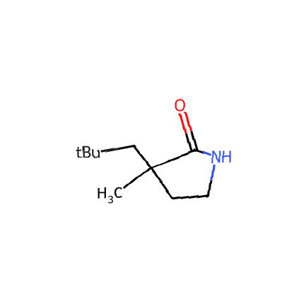 CC(C)(C)CC1(C)CCNC1=O